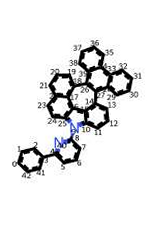 c1ccc(-c2cccc(-n3c4cccc5c4c4c6c(cccc6ccc43)-c3c-5c4ccccc4c4ccccc34)n2)cc1